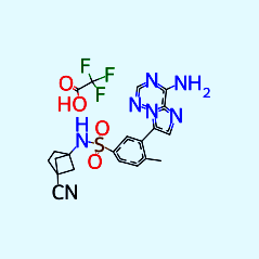 Cc1ccc(S(=O)(=O)NC23CCC(C#N)(C2)C3)cc1-c1cnc2c(N)ncnn12.O=C(O)C(F)(F)F